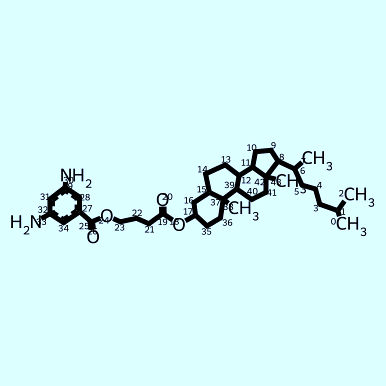 CC(C)CCCC(C)C1CCC2C3CCC4CC(OC(=O)CCCOC(=O)c5cc(N)cc(N)c5)CCC4(C)C3CCC12C